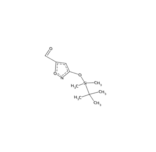 CC(C)(C)[Si](C)(C)Oc1cc(C=O)on1